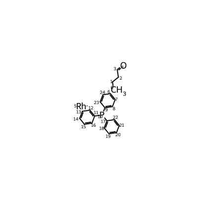 CCCC=O.[Rh].c1ccc(P(c2ccccc2)c2ccccc2)cc1